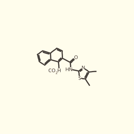 Cc1nc(NC(=O)c2ccc3ccccc3c2C(=O)O)sc1C